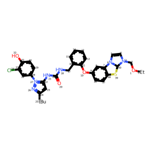 CCOCN1C=CN2c3cc(Oc4ccccc4CNC(=O)Nc4cc(C(C)(C)C)nn4-c4ccc(O)c(Cl)c4)ccc3SC12